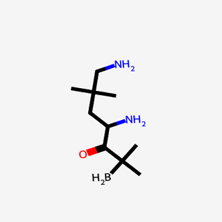 BC(C)(C)C(=O)C(N)CC(C)(C)CN